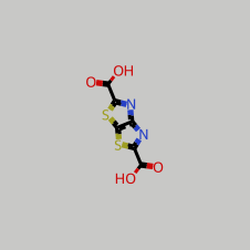 O=C(O)c1nc2nc(C(=O)O)sc2s1